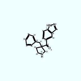 O=C(c1ccc2[nH]ncc2c1)C1(Cc2ccccc2)CCNC1